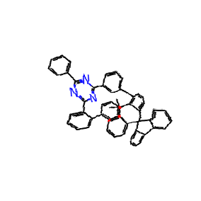 CC1(C)c2ccccc2C2(c3ccccc3-c3ccccc32)c2cccc(-c3cccc(-c4nc(-c5ccccc5)nc(-c5ccccc5-c5ccccc5)n4)c3)c21